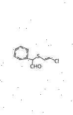 O=[C]C(S/C=C/Cl)c1ccccc1